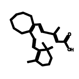 CC1=C(C=CC2=C(C=C/C(C)=C/C(=O)O)CCCCCC2)C(C)(C)CCC1